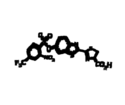 O=C(O)C1CSC(c2nc3ccc(OS(=O)(=O)c4ccc(C(F)(F)F)cc4[N+](=O)[O-])cc3s2)=N1